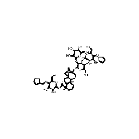 C=C1CC23CCC4C(C)(C(=O)OC5OC(CO)C(OCC6CCCC6)C(O)C5O)CCCC4(C)C2CCC1(OC1OC(CO)C(O)C(OC2OC(CO)C(OC4CCCC4)C(O)C2O)C1OC1OC(CO)C(O)C(O)C1O)C3